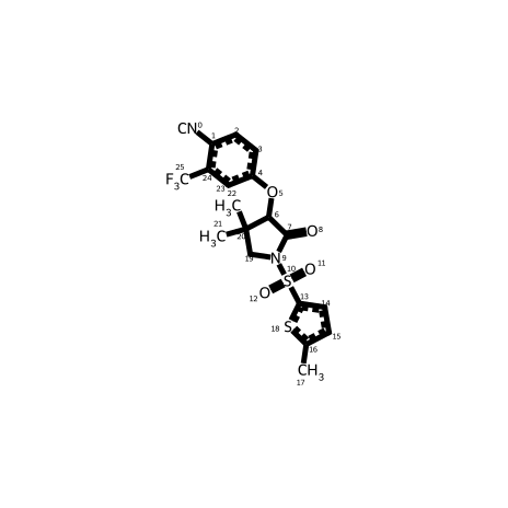 [C-]#[N+]c1ccc(OC2C(=O)N(S(=O)(=O)c3ccc(C)s3)CC2(C)C)cc1C(F)(F)F